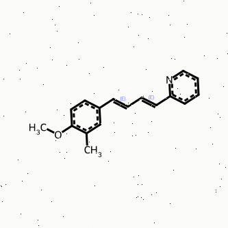 COc1ccc(/C=C/C=C/c2ccccn2)cc1C